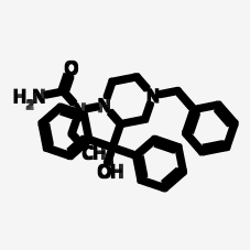 CCN(C(N)=O)N1CCN(Cc2ccccc2)CC1C(O)(c1ccccc1)c1ccccc1